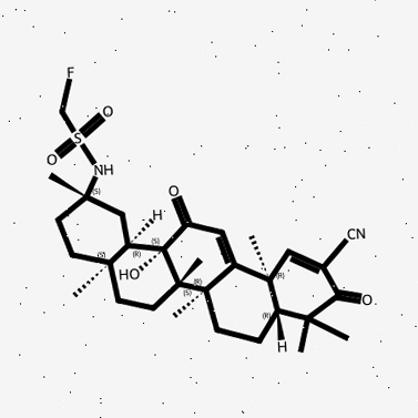 CC1(C)C(=O)C(C#N)=C[C@]2(C)C3=CC(=O)[C@]4(O)[C@@H]5C[C@@](C)(NS(=O)(=O)CF)CC[C@]5(C)CC[C@@]4(C)[C@]3(C)CC[C@@H]12